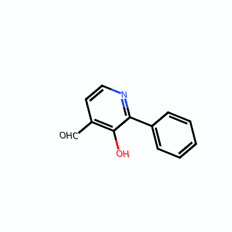 O=Cc1ccnc(-c2ccccc2)c1O